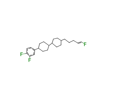 FC=CCCCC1CCC(C2CCC(c3ccc(F)c(F)c3)CC2)CC1